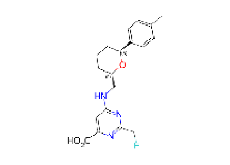 Cc1ccc([C@@H]2CCC[C@H](CNc3cc(C(=O)O)nc(CF)n3)O2)cc1